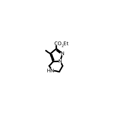 CCOC(=O)c1nn2c(c1C)CNCC2